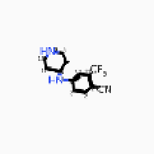 N#Cc1ccc(NC2CCNCC2)cc1C(F)(F)F